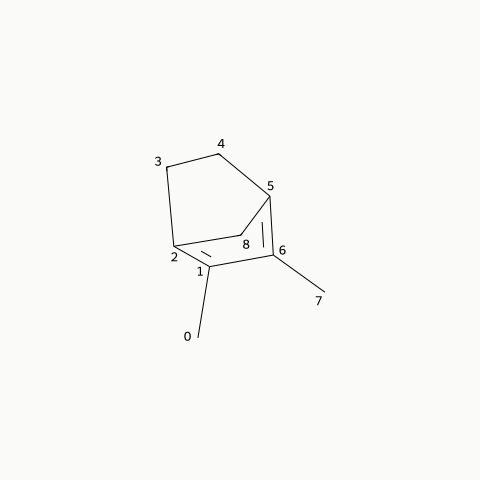 CC1=C2CCC(=C1C)C2